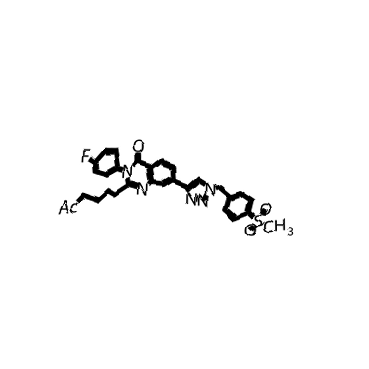 CC(=O)CCCCc1nc2cc(-c3cn(Cc4ccc(S(C)(=O)=O)cc4)nn3)ccc2c(=O)n1-c1ccc(F)cc1